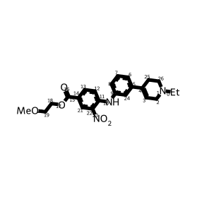 CCN1CC=C(c2cccc(Nc3ccc(C(=O)OCCOC)cc3[N+](=O)[O-])c2)CC1